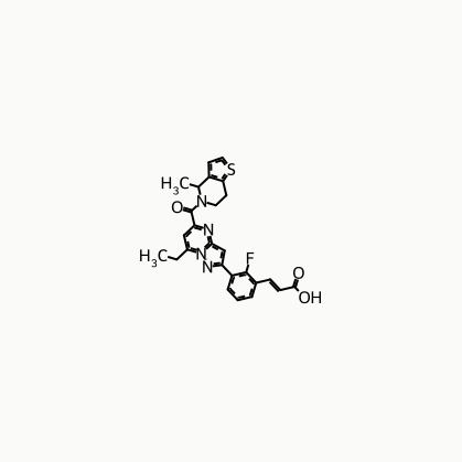 CCc1cc(C(=O)N2CCc3sccc3C2C)nc2cc(-c3cccc(/C=C/C(=O)O)c3F)nn12